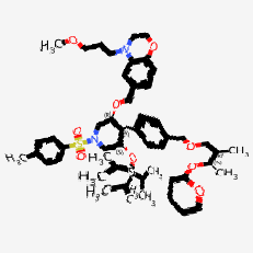 COCCCN1CCOc2ccc(CO[C@H]3CN(S(=O)(=O)c4ccc(C)cc4)C[C@@H](O[Si](C(C)C)(C(C)C)C(C)C)[C@@H]3c3ccc(COC[C@@H](C)[C@H](C)OC4CCCCO4)cc3)cc21